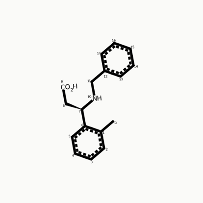 Cc1ccccc1[C@@H](CC(=O)O)NCc1ccccc1